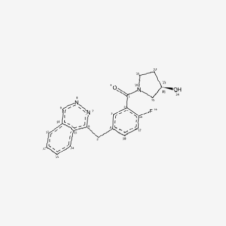 O=C(c1cc(Cc2nncc3ccccc23)ccc1F)N1CC[C@@H](O)C1